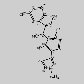 Cn1cc(-c2ccc(F)c(C(O)c3c[nH]c4ncc(Cl)cc34)c2F)cn1